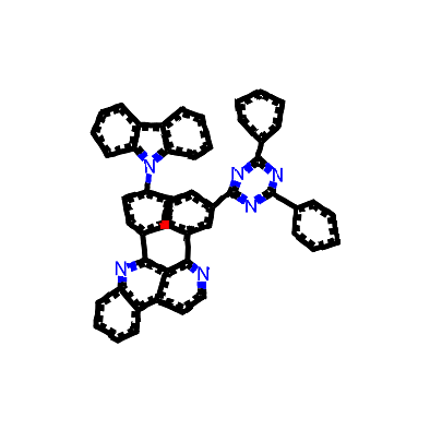 c1ccc(-c2nc(-c3ccccc3)nc(-c3cccc(-c4nccc5c4c(-c4ccc(-n6c7ccccc7c7ccccc76)cc4)nc4ccccc45)c3)n2)cc1